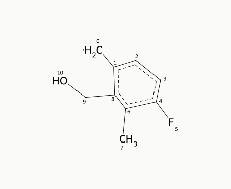 [CH2]c1ccc(F)c(C)c1CO